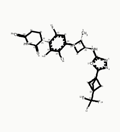 C[C@@H]1[C@@H](Nc2nnc(C34CC(C(F)(F)F)(C3)C4)o2)CN1c1cc(F)c([C@H]2CCC(=O)NC2=O)c(F)c1Cl